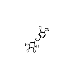 N#Cc1ccc(CSc2c[nH]c(=O)c(=O)[nH]2)cc1Cl